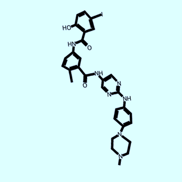 Cc1ccc(NC(=O)c2cc(I)ccc2O)cc1C(=O)Nc1cnc(Nc2ccc(N3CCN(C)CC3)cc2)nc1